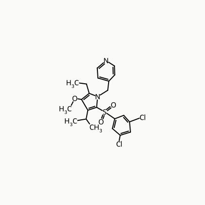 CCc1c(OC)c(C(C)C)c(S(=O)(=O)c2cc(Cl)cc(Cl)c2)n1Cc1ccncc1